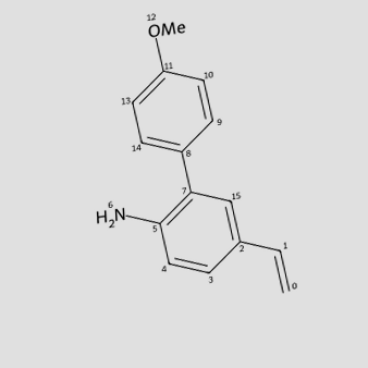 C=Cc1ccc(N)c(-c2ccc(OC)cc2)c1